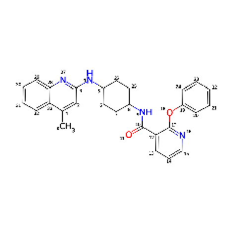 Cc1cc(NC2CCC(NC(=O)c3cccnc3Oc3ccccc3)CC2)nc2ccccc12